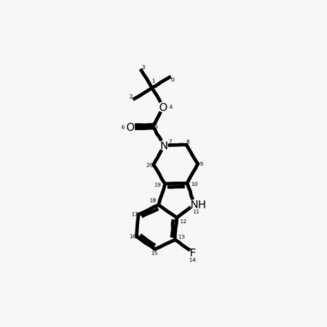 CC(C)(C)OC(=O)N1CCc2[nH]c3c(F)cccc3c2C1